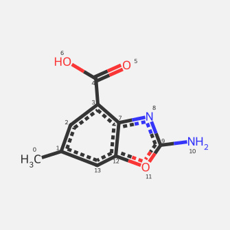 Cc1cc(C(=O)O)c2nc(N)oc2c1